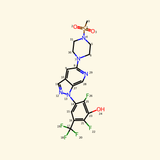 CS(=O)(=O)N1CCN(c2cc3cnn(-c4cc(C(F)(F)F)c(F)c(O)c4F)c3cn2)CC1